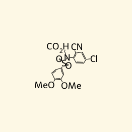 COc1ccc(S(=O)(=O)N(CC(=O)O)c2ccc(Cl)cc2C#N)cc1OC